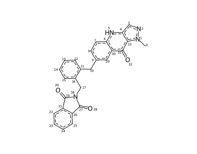 Cn1ncc2[nH]c3ccc(Cc4ccccc4CN4C(=O)c5ccccc5C4=O)cc3c(=O)c21